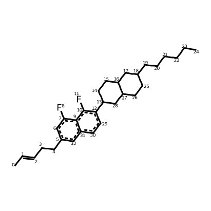 C/C=C/CCc1cc(F)c2c(F)c(C3CCC4CC(CCCCCC)CCC4C3)ccc2c1